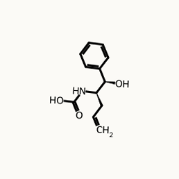 C=CC[C@@H](NC(=O)O)[C@H](O)c1ccccc1